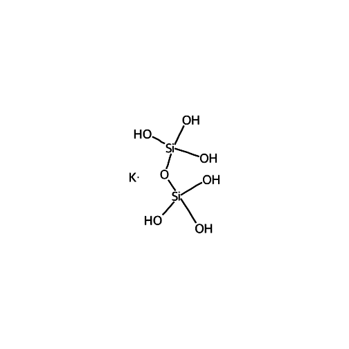 O[Si](O)(O)O[Si](O)(O)O.[K]